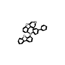 c1ccc(-c2ccc(N(c3cccc4c3oc3ccccc34)c3cccc4oc5cnccc5c34)cc2)cc1